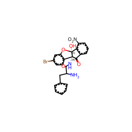 NC(Cc1ccccc1)C(=O)N[C@@]12C(=O)c3cccc([N+](=O)[O-])c3[C@]1(O)Oc1cc(Br)ccc12